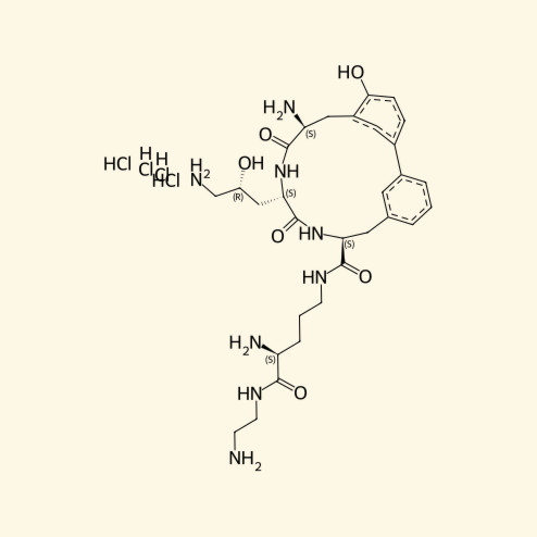 Cl.Cl.Cl.Cl.NCCNC(=O)[C@@H](N)CCCNC(=O)[C@@H]1Cc2cccc(c2)-c2ccc(O)c(c2)C[C@H](N)C(=O)N[C@@H](C[C@@H](O)CN)C(=O)N1